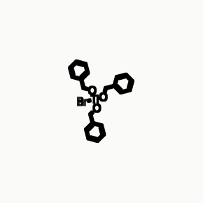 [Br][Ti]([O]Cc1ccccc1)([O]Cc1ccccc1)[O]Cc1ccccc1